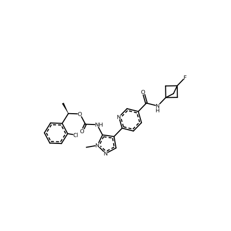 C[C@@H](OC(=O)Nc1c(-c2ccc(C(=O)NC34CC(F)(C3)C4)cn2)cnn1C)c1ccccc1Cl